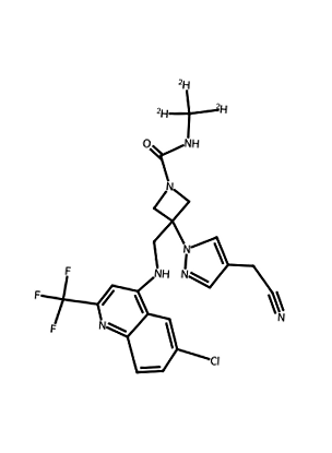 [2H]C([2H])([2H])NC(=O)N1CC(CNc2cc(C(F)(F)F)nc3ccc(Cl)cc23)(n2cc(CC#N)cn2)C1